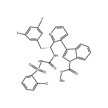 CC(C)(C)OC(=O)n1cc(-c2cccnc2[C@@H](Cc2cc(F)cc(F)c2)NC(=O)NS(=O)(=O)c2ccccc2Cl)c2ccccc21